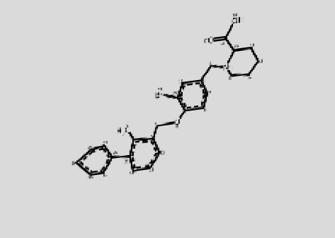 Cc1c(COc2ccc(CN3CCCCC3C(=O)O)cc2Br)cccc1-c1ccccc1